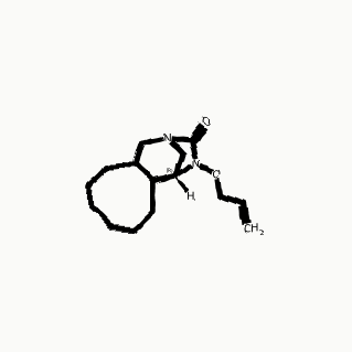 C=CCON1C(=O)N2CC3CCCCCCC3[C@@H]1C2